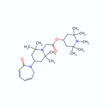 CN1C(C)(C)CC(OC(=O)CN2C(C)(C)CC(N3CC=CC=CC3=O)CC2(C)C)CC1(C)C